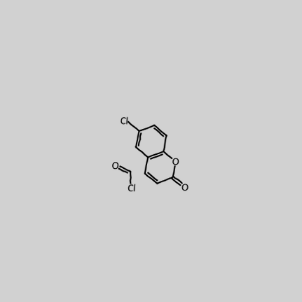 O=CCl.O=c1ccc2cc(Cl)ccc2o1